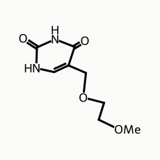 COCCOCc1c[nH]c(=O)[nH]c1=O